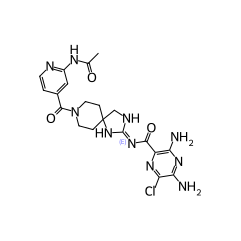 CC(=O)Nc1cc(C(=O)N2CCC3(CC2)CN/C(=N\C(=O)c2nc(Cl)c(N)nc2N)N3)ccn1